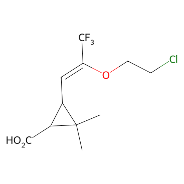 CC1(C)C(C=C(OCCCl)C(F)(F)F)C1C(=O)O